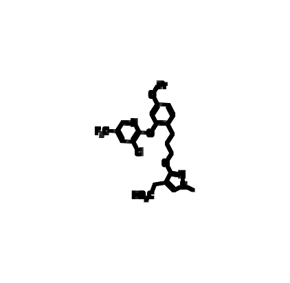 CC(C)Oc1ccc(CCCOc2nn(C)cc2CC(=O)O)c(Oc2ncc(C(F)(F)F)cc2Cl)c1